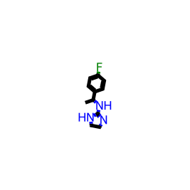 CC(NC1=NCCN1)c1ccc(F)cc1